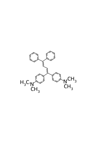 CN(C)c1ccc(C(=CC=C(c2ccccc2)c2ccccc2)c2ccc(N(C)C)cc2)cc1